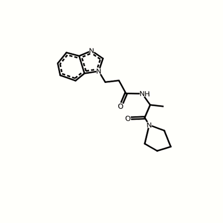 CC(NC(=O)CCn1cnc2ccccc21)C(=O)N1CCCC1